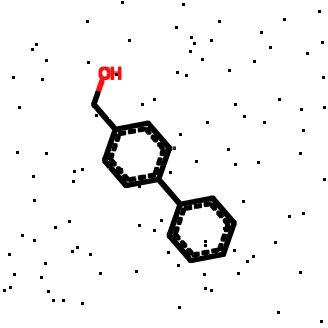 OCc1c[c]c(-c2ccccc2)cc1